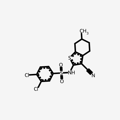 CC1CCc2c(sc(NS(=O)(=O)c3ccc(Cl)c(Cl)c3)c2C#N)C1